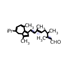 CC1=CC=C(C(C)C)CC2C(C)=CC(/C=C/C(C)=C/CC(C)/C(C)=C/C=O)=C12